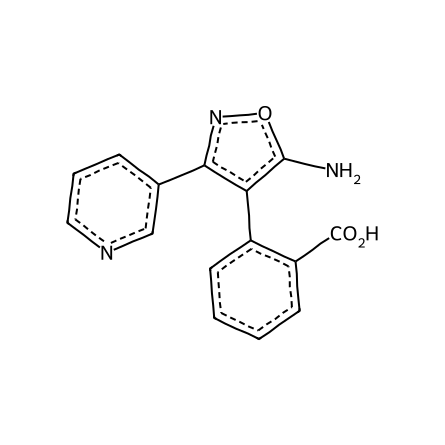 Nc1onc(-c2cccnc2)c1-c1ccccc1C(=O)O